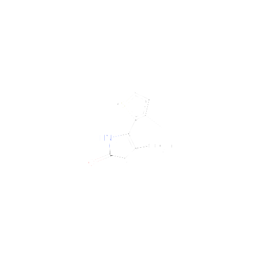 CCOC(=O)C1=C(c2sccc2C)NC(=O)C1